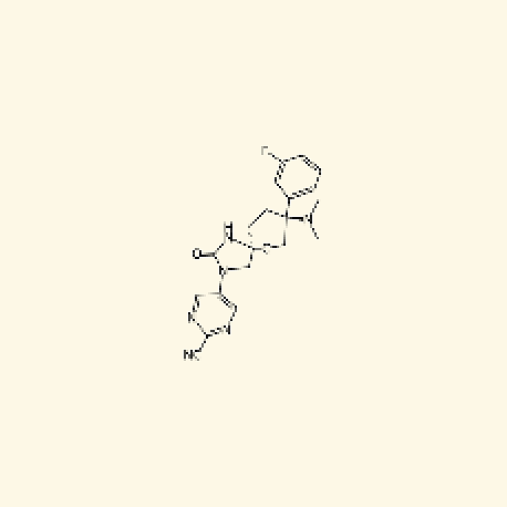 CN(C)[C@]1(c2cccc(F)c2)CC[C@]2(CC1)CN(c1cnc(C#N)nc1)C(=O)N2